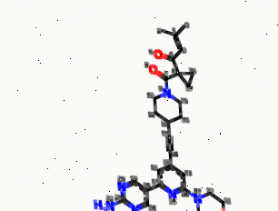 CC(C)=CC(=O)C1(C(=O)N2CCC(C#Cc3cc(-c4cnc(N)nc4)nc(N4CCOCC4)c3)CC2)CC1